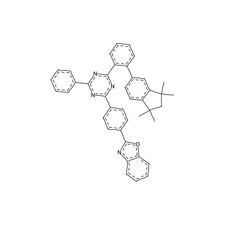 CC1(C)CC(C)(C)c2cc(-c3ccccc3-c3nc(-c4ccccc4)nc(-c4ccc(-c5nc6ccccc6o5)cc4)n3)ccc21